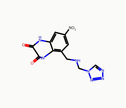 O=c1[nH]c2cc([N+](=O)[O-])cc(CNCn3cnnn3)c2[nH]c1=O